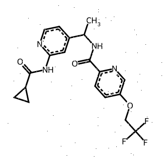 CC(NC(=O)c1ccc(OCC(F)(F)F)cn1)c1ccnc(NC(=O)C2CC2)c1